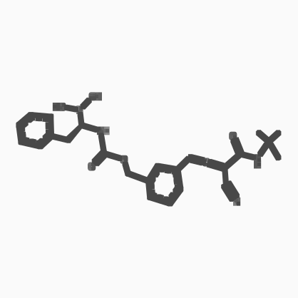 CC(C)(C)NC(=O)C(=C=Cc1cccc(COC(=O)N[C@@H](Cc2ccccc2)B(O)O)c1)C#N